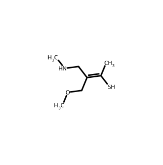 CNC/C(COC)=C(\C)S